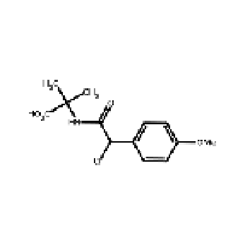 COc1ccc(C(Cl)C(=O)NC(C)(C)C(=O)O)cc1